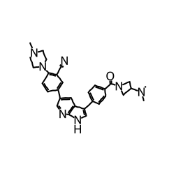 CN1CCN(c2ccc(-c3cnc4[nH]cc(-c5ccc(C(=O)N6CC(N(C)C)C6)cc5)c4c3)cc2C#N)CC1